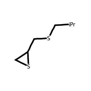 CC(C)CSCC1CS1